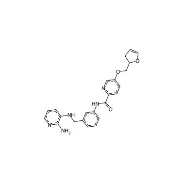 Nc1ncccc1NCc1cccc(NC(=O)c2ccc(OCC3CC=CO3)cn2)c1